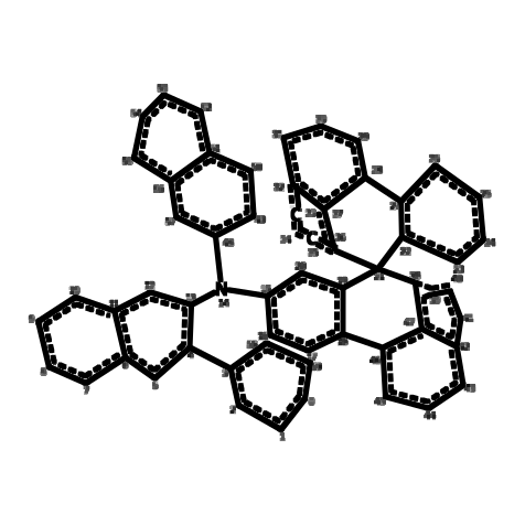 c1ccc(-c2cc3ccccc3cc2N(c2ccc3c(c2)C2(c4ccccc4-c4cccc5cccc2c45)c2cccc4cccc-3c24)c2ccc3ccccc3c2)cc1